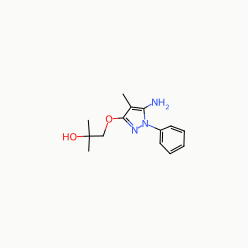 Cc1c(OCC(C)(C)O)nn(-c2ccccc2)c1N